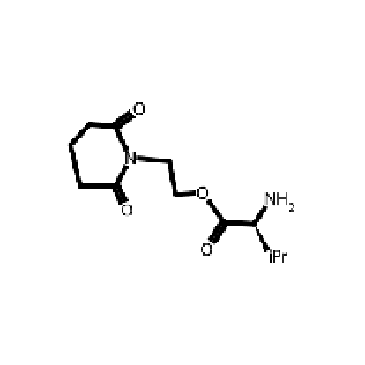 CC(C)[C@H](N)C(=O)OCCN1C(=O)CCCC1=O